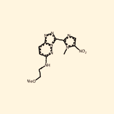 COCCNc1ccc2nnc(-c3ncc([N+](=O)[O-])n3C)n2n1